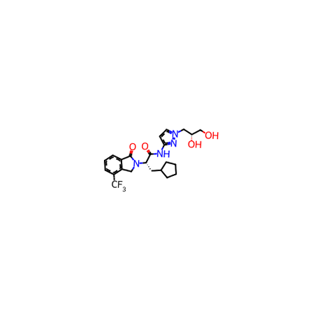 O=C(Nc1ccn(C[C@@H](O)CO)n1)[C@H](CC1CCCC1)N1Cc2c(cccc2C(F)(F)F)C1=O